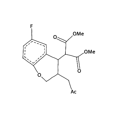 COC(=O)C(C(=O)OC)C1c2cc(F)ccc2OCC1CC(C)=O